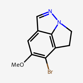 COc1cc2cnn3c2c(c1Br)CC3